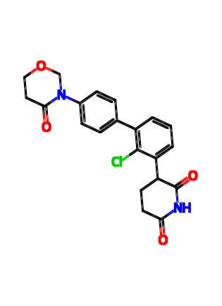 O=C1CCC(c2cccc(-c3ccc(N4COCCC4=O)cc3)c2Cl)C(=O)N1